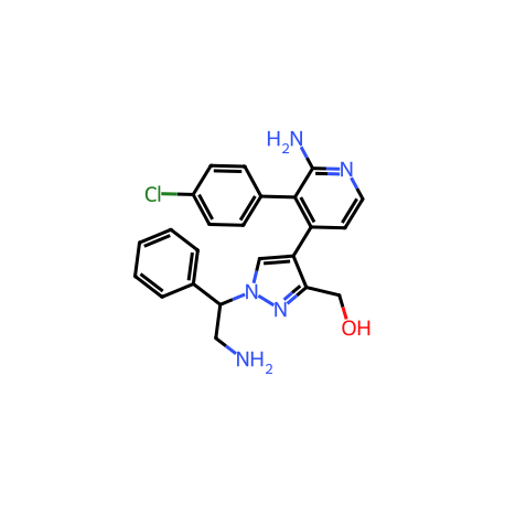 NCC(c1ccccc1)n1cc(-c2ccnc(N)c2-c2ccc(Cl)cc2)c(CO)n1